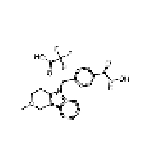 CN1CCc2c(c3ccccc3n2Cc2ccc(C(=O)NO)cc2)C1.O=C(O)C(F)(F)F